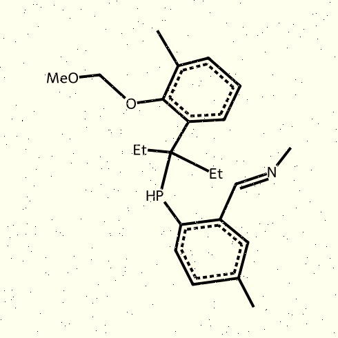 CCC(CC)(Pc1ccc(C)cc1/C=N/C)c1cccc(C)c1OCOC